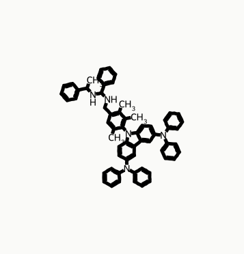 Cc1cc(CNC(NC(C)c2ccccc2)c2ccccc2)c(C)c(C)c1-n1c2ccc(N(c3ccccc3)c3ccccc3)cc2c2cc(N(c3ccccc3)c3ccccc3)ccc21